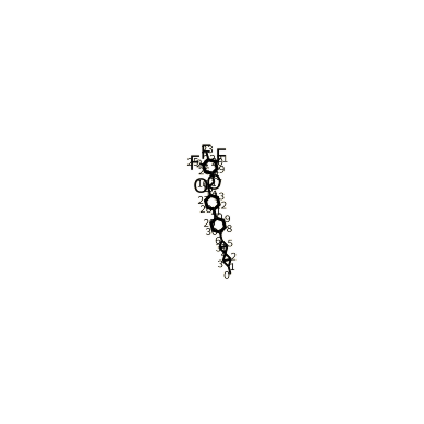 CC1C2C1C21C2C(c3ccc(-c4ccc(C(=O)Oc5cc(F)c(F)c(F)c5)cc4)cc3)C21